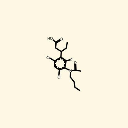 CCCCN(C(C)=O)c1c(Cl)cc(Cl)c(C(CC)CC(=O)O)c1Cl